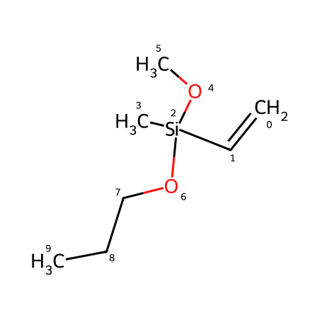 C=C[Si](C)(OC)OCCC